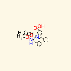 CC(C)(C)OC(=O)NC1Cc2ccccc2-c2c(C3CCCCC3)c3ccc(C(=O)O)cc3n2C1